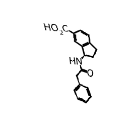 O=C(Cc1ccccc1)N[C@@H]1CCc2ccc(C(=O)O)cc21